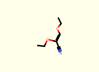 CCOC=C(C#N)OCC